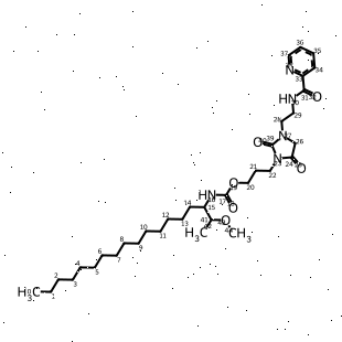 CCCCCCCCCCCCCCCC(NC(=O)OCCCN1C(=O)CN(CCNC(=O)c2ccccn2)C1=O)C(C)OC